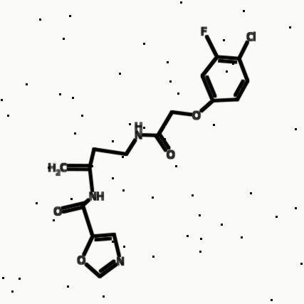 C=C(CCNC(=O)COc1ccc(Cl)c(F)c1)NC(=O)c1cnco1